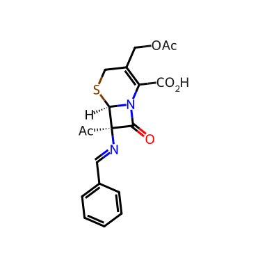 CC(=O)OCC1=C(C(=O)O)N2C(=O)[C@](N=Cc3ccccc3)(C(C)=O)[C@H]2SC1